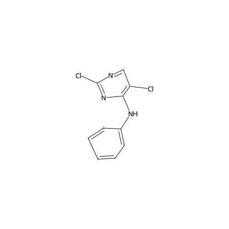 Clc1ncc(Cl)c(Nc2[c]cccc2)n1